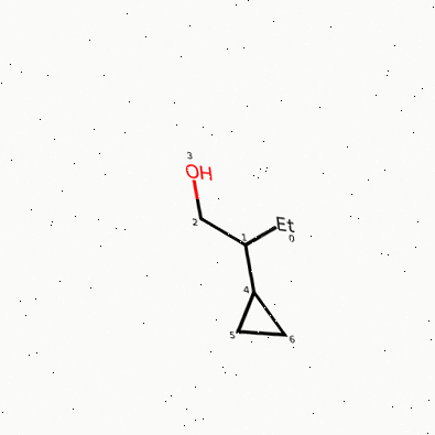 [CH2]CC(CO)C1CC1